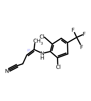 C/C(=C/CC#N)Nc1c(Cl)cc(C(F)(F)F)cc1Cl